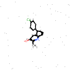 Cc1nc2cccc(C3CCC(Cl)CC3)c2cc1O